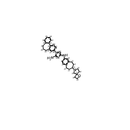 Nc1nc(Nc2ccc3c(c2)CCC(N2CCC4(CCO4)C2)CC3)nn1-c1cc2c(nn1)-c1ccccc1CCC2